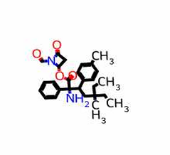 CCC(C)(CC)CC(c1ccc(C)cc1)C(N)(C(=O)OC1CC(=O)N1C=O)c1ccccc1